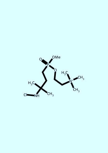 COP(=O)(CCC(C)(C)NCl)OCC[N+](C)(C)C